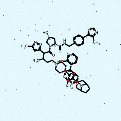 Cc1cc(C(C(=O)N2C[C@H](O)C[C@H]2C(=O)NCc2ccc(-c3scnc3C)cc2)C(C)CCN2CCC(c3cnc(N4C5CCC4CN(c4cc(-c6ccccc6O)nnc4N)C5)nc3)CC2)on1